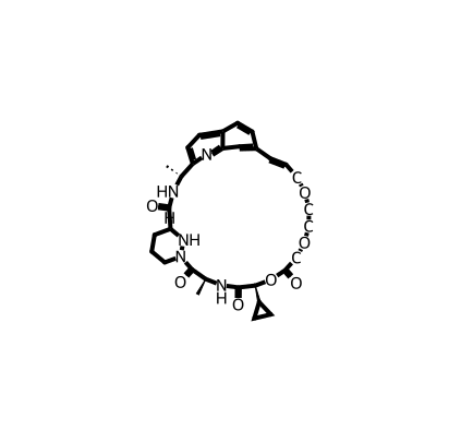 C[C@@H]1NC(=O)[C@H](C2CC2)OC(=O)COCCOC/C=C/c2ccc3ccc(nc3c2)[C@@H](C)NC(=O)[C@@H]2CCCN(N2)C1=O